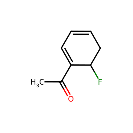 CC(=O)C1=CC=CCC1F